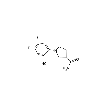 Cc1cc(N2CCC(C(N)=O)C2)ccc1F.Cl